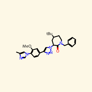 COc1cc(-c2cn(C3CC(C(C)(C)C)CCN(Cc4ccccc4)C3=O)nn2)ccc1-n1cnc(C)c1